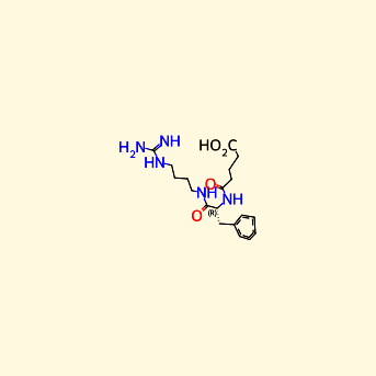 N=C(N)NCCCCNC(=O)[C@@H](Cc1ccccc1)NC(=O)CCCC(=O)O